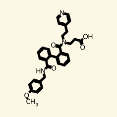 COc1ccc(CNC(=O)c2ccccc2-c2ccccc2C(=O)N(CCC(=O)O)CCc2ccncc2)cc1